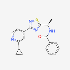 C[C@@H](NC(=O)c1ccccc1)c1nc(-c2ccnc(C3CC3)c2)ns1